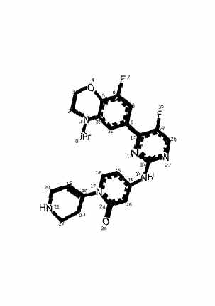 CC(C)N1CCOc2c(F)cc(-c3nc(Nc4ccn(C5=CCNCC5)c(=O)c4)ncc3F)cc21